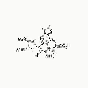 CNC1CN(c2c(F)c(N)c3c(=O)c(C(=O)O)cn(-c4cccs4)c3c2F)CC1OC